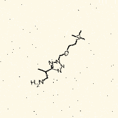 CC(CN)c1nnn(COCC[Si](C)(C)C)n1